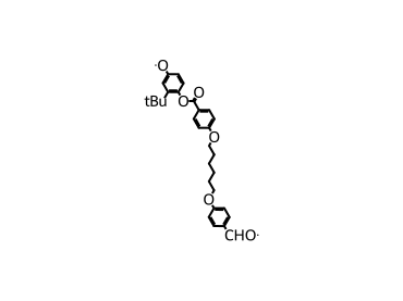 CC(C)(C)c1cc([O])ccc1OC(=O)c1ccc(OCCCCCCOc2ccc([C]=O)cc2)cc1